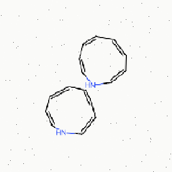 c1cccc[nH]ccc1.c1cccc[nH]ccc1